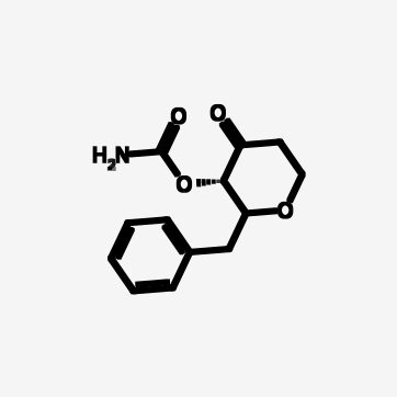 NC(=O)O[C@@H]1C(=O)CCOC1Cc1ccccc1